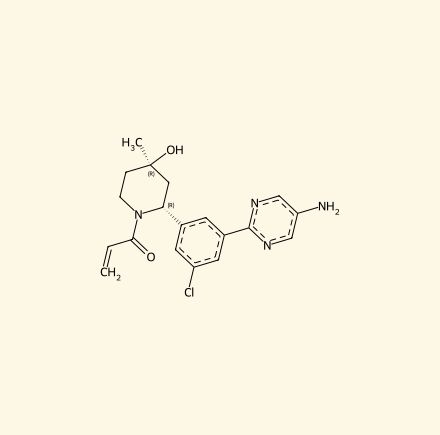 C=CC(=O)N1CC[C@@](C)(O)C[C@@H]1c1cc(Cl)cc(-c2ncc(N)cn2)c1